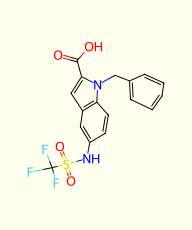 O=C(O)c1cc2cc(NS(=O)(=O)C(F)(F)F)ccc2n1Cc1ccccc1